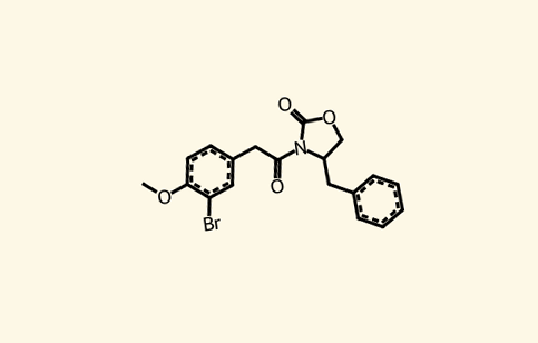 COc1ccc(CC(=O)N2C(=O)OCC2Cc2ccccc2)cc1Br